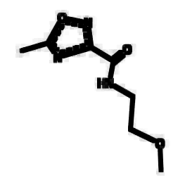 COCCNC(=O)c1noc(C)n1